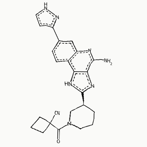 N#CC1(C(=O)N2CCC[C@H](c3nc4c(N)nc5cc(-c6cc[nH]n6)ccc5c4[nH]3)C2)CCC1